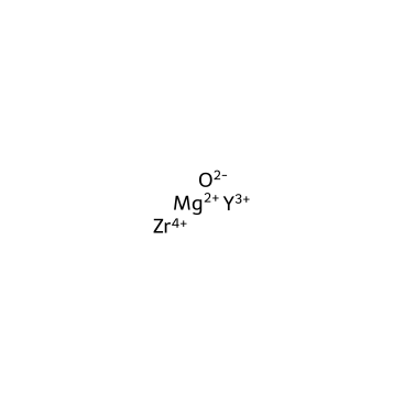 [Mg+2].[O-2].[Y+3].[Zr+4]